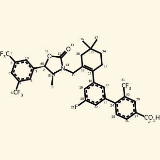 C[C@H]1[C@@H](c2cc(C(F)(F)F)cc(C(F)(F)F)c2)OC(=O)N1CC1=C(c2cc(F)cc(-c3ccc(C(=O)O)cc3C(F)(F)F)c2)CCC(C)(C)C1